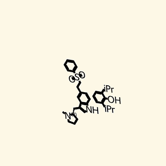 CC(C)c1cccc(C(C)C)c1O.CN1CCC[C@@H]1Cc1c[nH]c2ccc(CCS(=O)(=O)c3ccccc3)cc12